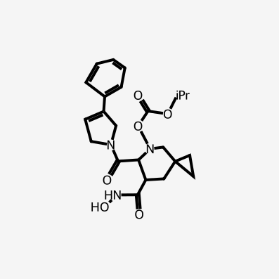 CC(C)OC(=O)ON1CC2(CC2)CC(C(=O)NO)C1C(=O)N1CC=C(c2ccccc2)C1